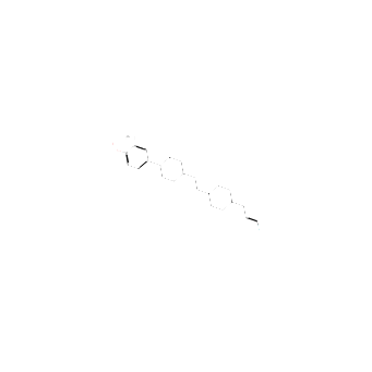 CCCCCCOc1ccc(C2CCC(CCC3CCC(CC=CF)CC3)CC2)cc1